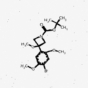 COc1cc(C2(OC)CN(C(=O)OC(C)(C)C)C2)c(OC)cc1Br